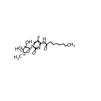 CCCCCCCC(=O)Nc1nc(=O)n([C@@H]2O[C@H](C)[C@@H](O)[C@H]2O)cc1F